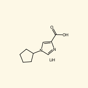 O=C(O)c1cn(C2CCCC2)cn1.[LiH]